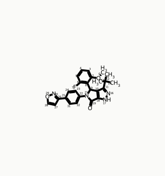 COc1cccc(F)c1C1c2c(C(C)(C)C)n[nH]c2C(=O)N1c1ccc(-c2ccon2)cc1